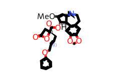 COC1=C[C@]23CCCN2CCc2cc4c(cc2[C@@H]3[C@@H]1OC(=O)[C@@]1(C/C=C/COc2ccccc2)CC(=O)O1)OCO4